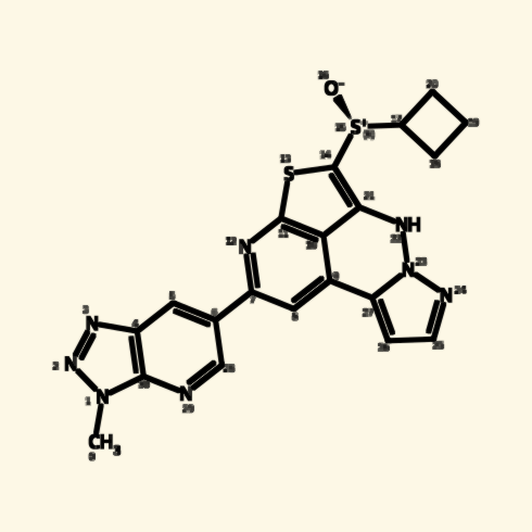 Cn1nnc2cc(-c3cc4c5c(n3)sc([S@@+]([O-])C3CCC3)c5[nH]n3nccc43)cnc21